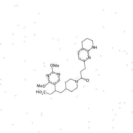 COc1ncc(C(CC(=O)O)CC2CCN(C(=O)CCc3ccc4c(n3)NCCC4)CC2)c(OC)n1